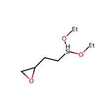 CCO[SiH](CCC1CO1)OCC